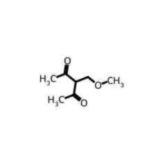 COCC(C(C)=O)C(C)=O